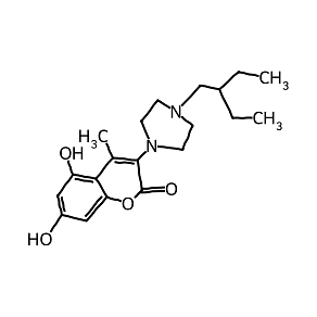 CCC(CC)CN1CCN(c2c(C)c3c(O)cc(O)cc3oc2=O)CC1